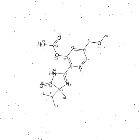 COCc1cnc(C2=NC(C)(C(C)C)C(=O)N2)c(OC(=O)O)c1